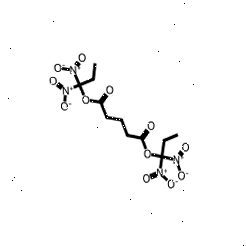 CCC(OC(=O)CCCC(=O)OC(CC)([N+](=O)[O-])[N+](=O)[O-])([N+](=O)[O-])[N+](=O)[O-]